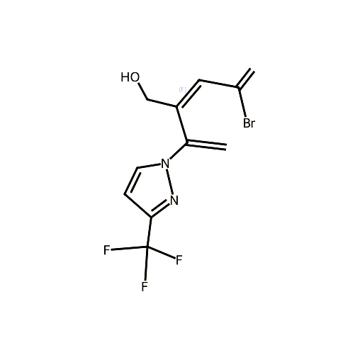 C=C(Br)/C=C(/CO)C(=C)n1ccc(C(F)(F)F)n1